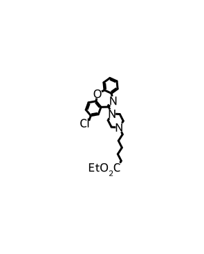 CCOC(=O)CCCCCN1CCN(C2=Nc3ccccc3Oc3ccc(Cl)cc32)CC1